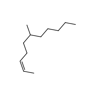 C/C=C\CCC(C)CCCCC